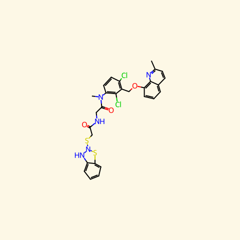 Cc1ccc2cccc(OCc3c(Cl)ccc(N(C)C(=O)CNC(=O)CSN4Nc5ccccc5S4)c3Cl)c2n1